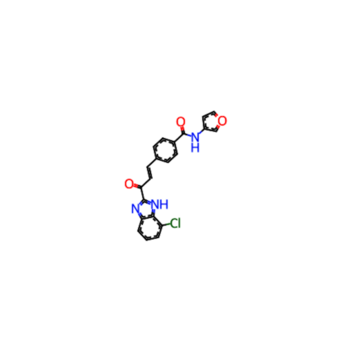 O=C(Nc1ccoc1)c1ccc(C=CC(=O)c2nc3cccc(Cl)c3[nH]2)cc1